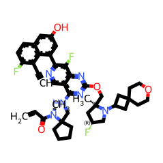 C#Cc1c(F)ccc2cc(O)cc(-c3ncc4c(NCC5(N(C)C(=O)C=C)CCCC5)nc(OC[C@]5(C)C[C@@H](F)CN5C5CC6(CCOCC6)C5)nc4c3F)c12